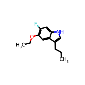 CCCc1c[nH]c2cc(F)c(OCC)cc12